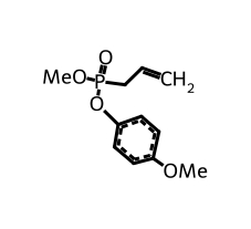 C=CCP(=O)(OC)Oc1ccc(OC)cc1